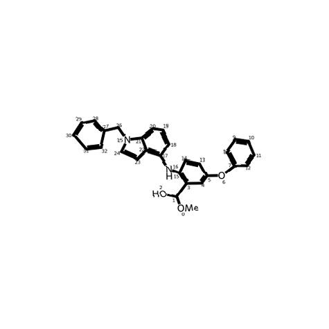 COC(O)c1cc(Oc2ccccc2)ccc1Nc1cccc2c1ccn2Cc1ccccc1